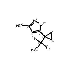 CC(F)(F)C1(c2cc(N)no2)CC1